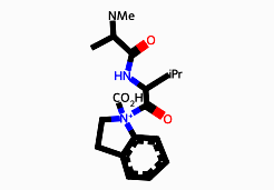 CNC(C)C(=O)NC(C(=O)[N+]1(C(=O)O)CCc2ccccc21)C(C)C